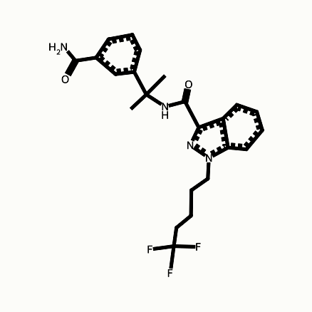 CC(C)(NC(=O)c1nn(CCCCC(F)(F)F)c2ccccc12)c1cccc(C(N)=O)c1